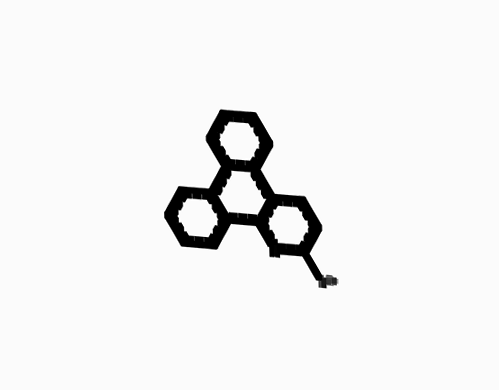 [Ir+2][c]1ccc2c3ccccc3c3ccccc3c2n1